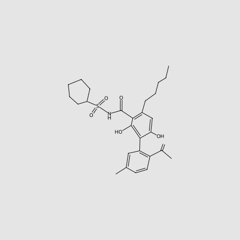 C=C(C)c1ccc(C)cc1-c1c(O)cc(CCCCC)c(C(=O)NS(=O)(=O)C2CCCCC2)c1O